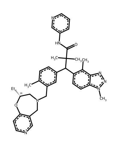 CC[C@@H]1CN(Cc2cc(C(c3ccc4c(nnn4C)c3C)C(C)(C)C(=O)Nc3cccnc3)ccc2C)Cc2cnccc2O1